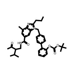 CCCc1nc2c(C)cc(C(=O)NCC(C(C)=O)C(C)C)cc2n1Cc1ccc(-c2ccccc2OC(=O)OC(C)(C)C)cc1